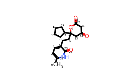 Cc1ccc(CCC2(C3CCCC3)CC(=O)CC(=O)O2)c(=O)[nH]1